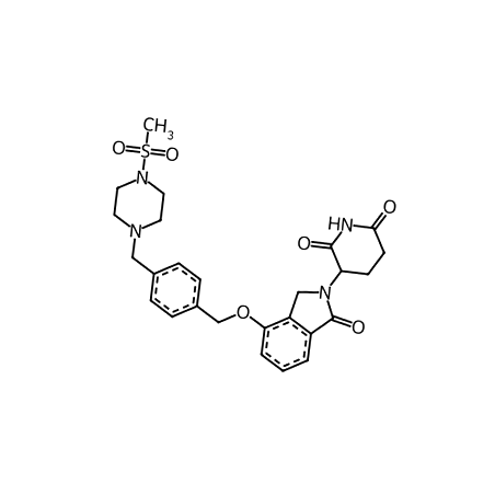 CS(=O)(=O)N1CCN(Cc2ccc(COc3cccc4c3CN(C3CCC(=O)NC3=O)C4=O)cc2)CC1